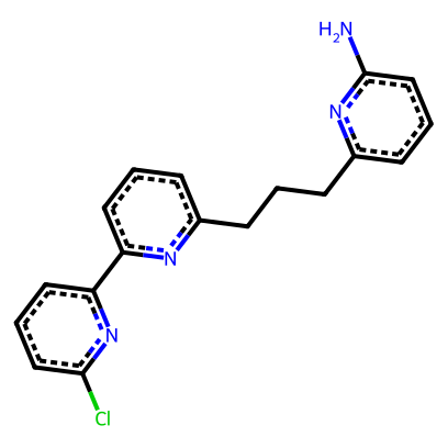 Nc1cccc(CCCc2cccc(-c3cccc(Cl)n3)n2)n1